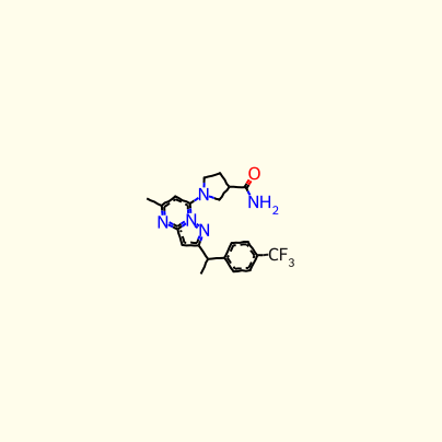 Cc1cc(N2CCC(C(N)=O)C2)n2nc(C(C)c3ccc(C(F)(F)F)cc3)cc2n1